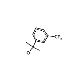 CC(C)([O])c1cccc(C(F)(F)F)c1